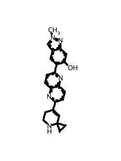 Cn1cc2cc(-c3ccc4nc(C5=CC6(CC6)NCC5)ccc4n3)c(O)cc2n1